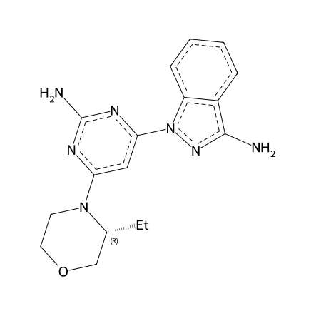 CC[C@@H]1COCCN1c1cc(-n2nc(N)c3ccccc32)nc(N)n1